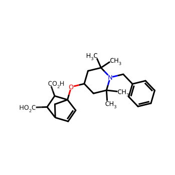 CC1(C)CC(OC23C=CC(C2)C(C(=O)O)C3C(=O)O)CC(C)(C)N1Cc1ccccc1